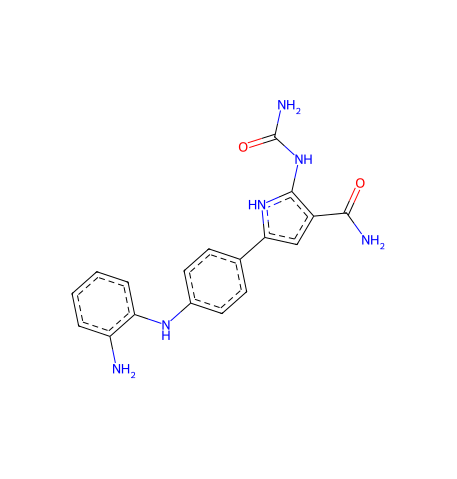 NC(=O)Nc1[nH]c(-c2ccc(Nc3ccccc3N)cc2)cc1C(N)=O